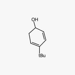 CC(C)(C)C1=CCC(O)C=C1